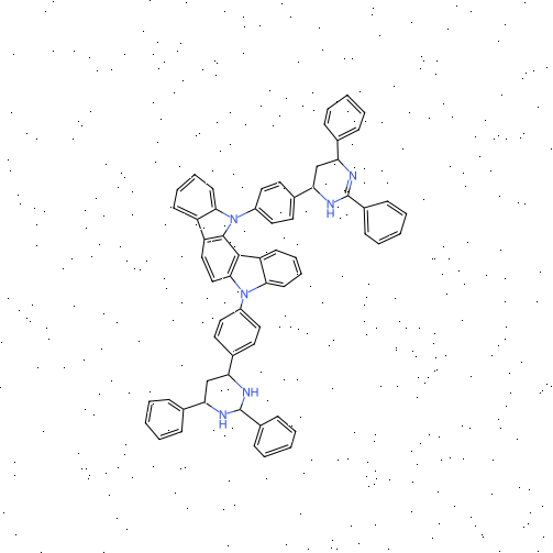 c1ccc(C2=NC(c3ccccc3)CC(c3ccc(-n4c5ccccc5c5ccc6c(c7ccccc7n6-c6ccc(C7CC(c8ccccc8)NC(c8ccccc8)N7)cc6)c54)cc3)N2)cc1